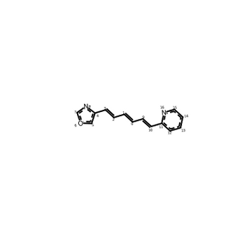 C(=C\C=C\c1cocn1)/C=C/c1ccccn1